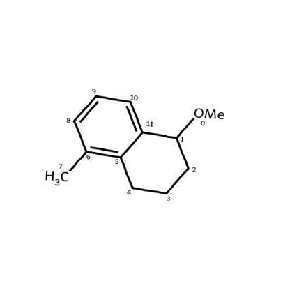 COC1CCCc2c(C)cccc21